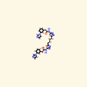 O=C(Cc1cccc(-n2ccnc2)c1)Nc1nnc(CCCCc2nnc(NC(=O)Cc3cccc(-n4ccnc4)c3)s2)s1